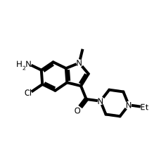 CCN1CCN(C(=O)c2cn(C)c3cc(N)c(Cl)cc23)CC1